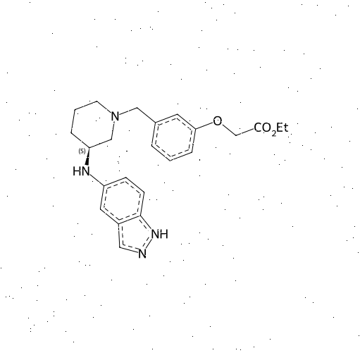 CCOC(=O)COc1cccc(CN2CCC[C@H](Nc3ccc4[nH]ncc4c3)C2)c1